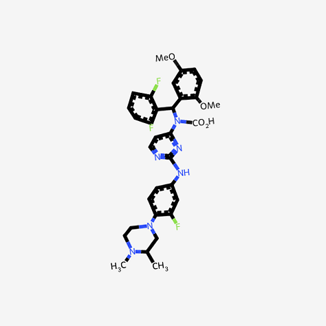 COc1ccc(OC)c(C(c2c(F)cccc2F)N(C(=O)O)c2ccnc(Nc3ccc(N4CCN(C)C(C)C4)c(F)c3)n2)c1